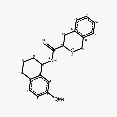 COc1ccc2c(c1)C(NC(=O)C1Cc3ccccc3CN1)CCC2